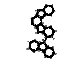 c1ccc2c(c1)sc1ccc3sc4c(-n5c6ccccc6c6ccccc65)nccc4c3c12